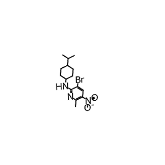 Cc1nc(NC2CCC(C(C)C)CC2)c(Br)cc1[N+](=O)[O-]